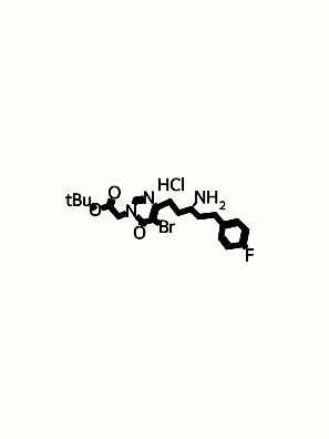 CC(C)(C)OC(=O)Cn1cnc(CC[C@H](N)CCc2ccc(F)cc2)c(Br)c1=O.Cl